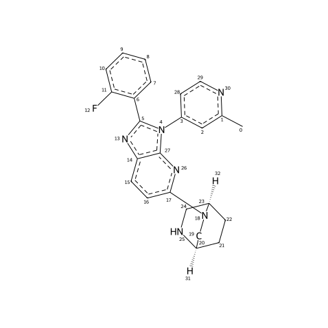 Cc1cc(-n2c(-c3ccccc3F)nc3ccc(N4C[C@H]5CC[C@@H]4CN5)nc32)ccn1